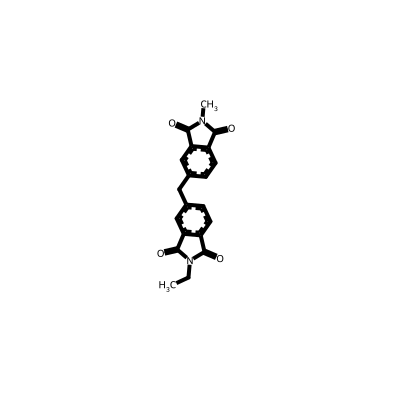 CCN1C(=O)c2ccc(Cc3ccc4c(c3)C(=O)N(C)C4=O)cc2C1=O